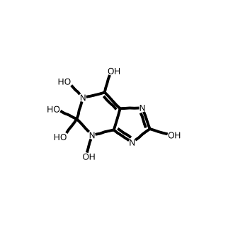 OC1=NC2=C(O)N(O)C(O)(O)N(O)C2=N1